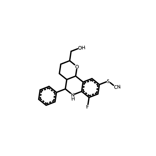 N#CSc1cc(F)c2c(c1)C1OC(CO)CCC1C(c1ccccc1)N2